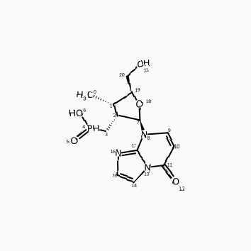 C[C@H]1[C@@H](C[PH](=O)O)[C@H](n2ccc(=O)n3ccnc23)O[C@@H]1CO